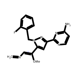 C=N/C=C(\OC)c1cc(-c2nccc(N)n2)nn1Cc1ccccc1F